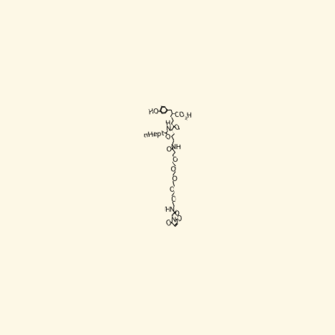 CCCCCCCC(=O)N[C@@H](CCCCNC(=O)CCOCCOCCOCCOCCOCCNC(=O)CN1C(=O)C=CC1=O)C(=O)CCC[C@@H](Cc1ccc(O)cc1)C(=O)O